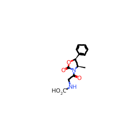 C[C@@H]1[C@H](c2ccccc2)OC(=O)N1C(=O)CNC(=O)O